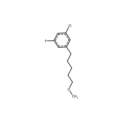 COCCCCCc1cc(F)cc(Cl)c1